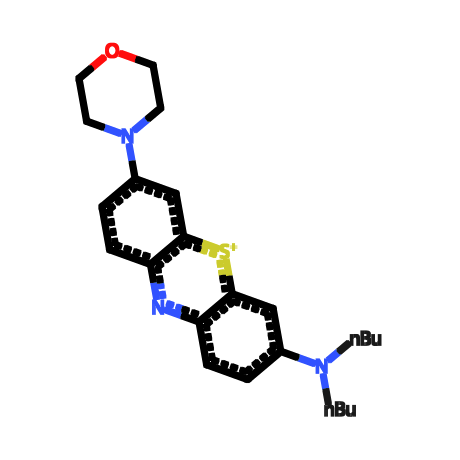 CCCCN(CCCC)c1ccc2nc3ccc(N4CCOCC4)cc3[s+]c2c1